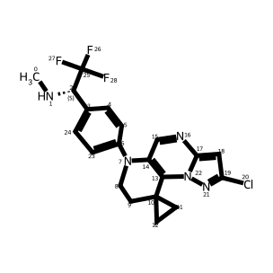 CN[C@@H](c1ccc(N2CCC3(CC3)c3c2cnc2cc(Cl)nn32)cc1)C(F)(F)F